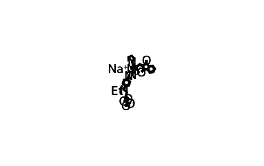 CCN(CCOS(=O)(=O)[O-])c1ccc(/N=N/c2nc(N3CCCC3)c(C=C3C(=O)c4ccccc4C3=O)s2)cc1.[Na+]